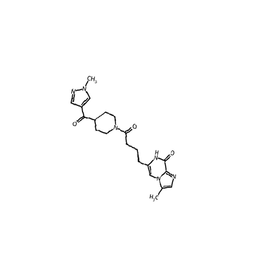 Cc1cnc2c(=O)[nH]c(CCCC(=O)N3CCC(C(=O)c4cnn(C)c4)CC3)cn12